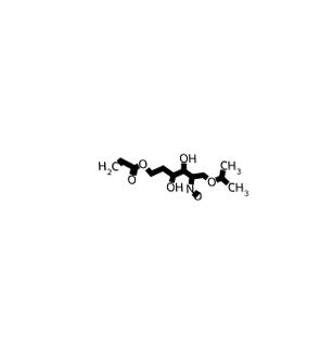 C=CC(=O)OCCC(O)C(O)C(COC(C)C)N=O